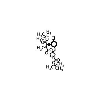 C[C@H](NC(=O)OC(C)(C)C)C(=O)OC1(Cc2ccc(Cl)cc2)CCN(C(=O)OC(C)(C)C)C1